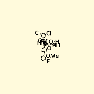 COc1c(F)cccc1-c1ccc([C@H](NS(=O)(=O)c2cc(Cl)cc(Cl)c2)[C@H](C(=O)O)C(=O)C2CCCN2)cc1